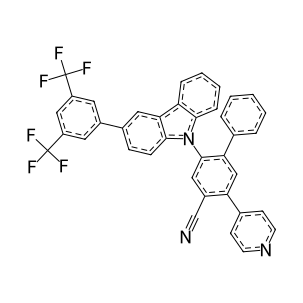 N#Cc1cc(-n2c3ccccc3c3cc(-c4cc(C(F)(F)F)cc(C(F)(F)F)c4)ccc32)c(-c2ccccc2)cc1-c1ccncc1